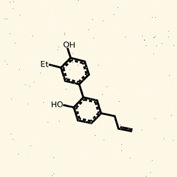 C=CCc1ccc(O)c(-c2ccc(O)c(CC)c2)c1